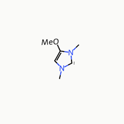 COC1=CN(C)[C]N1C